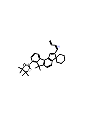 C=C/C=C\C1=Cc2c(ccc3c2-c2cccc(B4OC(C)(C)C(C)(C)O4)c2C3(C)C)C12CCCCC2